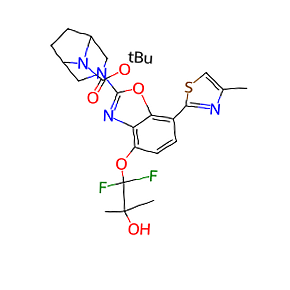 Cc1csc(-c2ccc(OC(F)(F)C(C)(C)O)c3nc(N4CC5CCC(C4)N5C(=O)OC(C)(C)C)oc23)n1